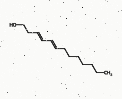 CCCCCCC/C=C/C=C/CCO